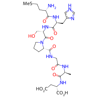 CSCC[C@H](N)C(=O)N[C@@H](Cc1c[nH]cn1)C(=O)N[C@@H](CO)C(=O)N1CCC[C@H]1C(=O)NCC(=O)N[C@@H](C)C(=O)N[C@@H](CC(=O)O)C(=O)O